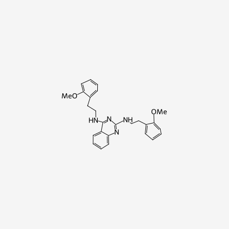 COc1ccccc1CCNc1nc(NCCc2ccccc2OC)c2ccccc2n1